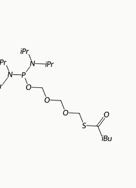 CCC(C)C(=O)SCOCOCOP(N(C(C)C)C(C)C)N(C(C)C)C(C)C